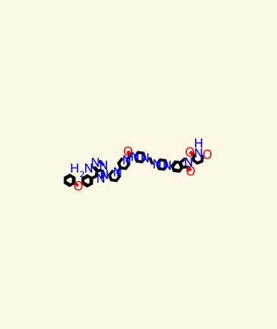 Nc1ncnc2c1c(-c1ccc(Oc3ccccc3)cc1)nn2C1CCCN(C2CCN(C(=O)N3CCN(CCN4CCN(c5ccc6c(c5)CN(C5CCC(=O)NC5=O)C6=O)CC4)CC3)CC2)C1